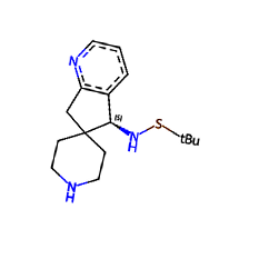 CC(C)(C)SN[C@@H]1c2cccnc2CC12CCNCC2